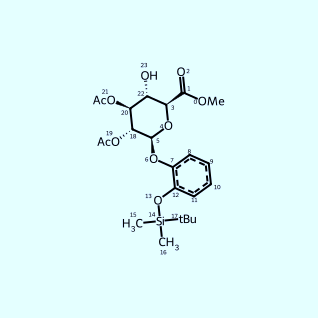 COC(=O)[C@H]1O[C@@H](Oc2ccccc2O[Si](C)(C)C(C)(C)C)[C@H](OC(C)=O)[C@@H](OC(C)=O)[C@@H]1O